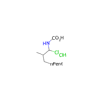 CCCCCCC(C)C(Cl)NC(=O)O.Cl